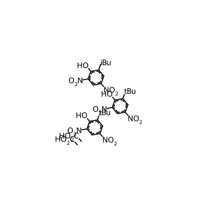 CC(=O)O.CC(=O)O.CC(C)(C)c1cc([N+](=O)[O-])cc([N+](=O)[O-])c1O.CC(C)(C)c1cc([N+](=O)[O-])cc([N+](=O)[O-])c1O.CCC(C)c1cc([N+](=O)[O-])cc([N+](=O)[O-])c1O